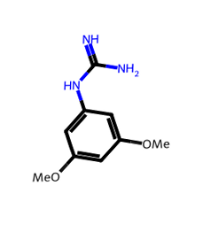 COc1cc(NC(=N)N)cc(OC)c1